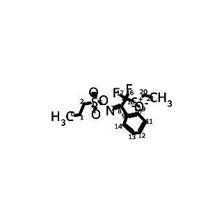 CCCS(=O)(=O)ON=C(c1ccccc1)C(F)(F)[S+]([O-])CC